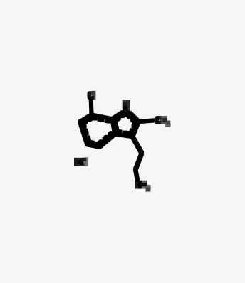 Cc1[nH]c2c(Cl)cccc2c1CCN.Cl